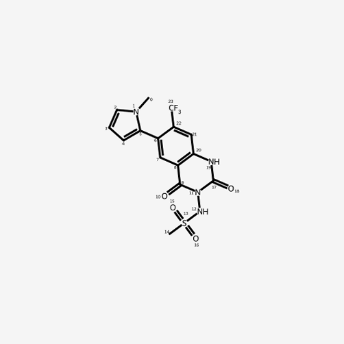 Cn1cccc1-c1cc2c(=O)n(NS(C)(=O)=O)c(=O)[nH]c2cc1C(F)(F)F